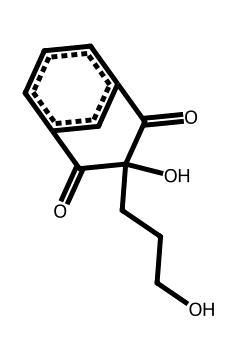 O=C1c2cccc(c2)C(=O)C1(O)CCCO